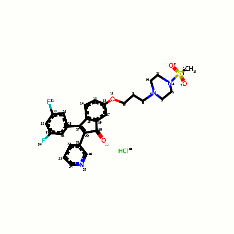 CS(=O)(=O)N1CCN(CCCOc2ccc3c(c2)C(=O)C(c2cccnc2)=C3c2cc(F)cc(F)c2)CC1.Cl